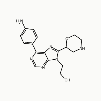 Nc1ccc(-c2ncnc3c2nc(C2CNCCO2)n3CCO)cc1